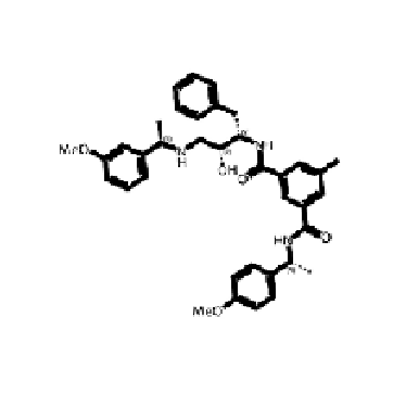 COc1ccc([C@@H](C)NC(=O)c2cc(C)cc(C(=O)N[C@@H](Cc3ccccc3)[C@H](O)CN[C@H](C)c3cccc(OC)c3)c2)cc1